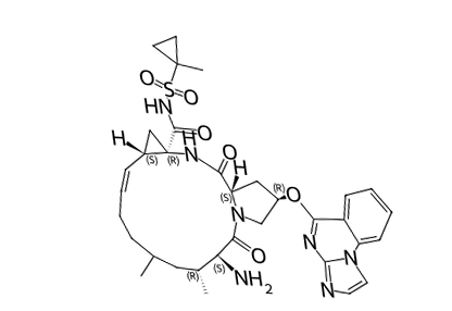 CC1CCC=C[C@@H]2C[C@@]2(C(=O)NS(=O)(=O)C2(C)CC2)NC(=O)[C@@H]2C[C@@H](Oc3nc4nccn4c4ccccc34)CN2C(=O)[C@@H](N)[C@H](C)C1